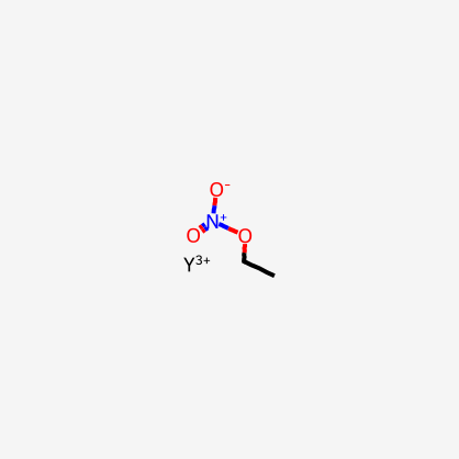 CCO[N+](=O)[O-].[Y+3]